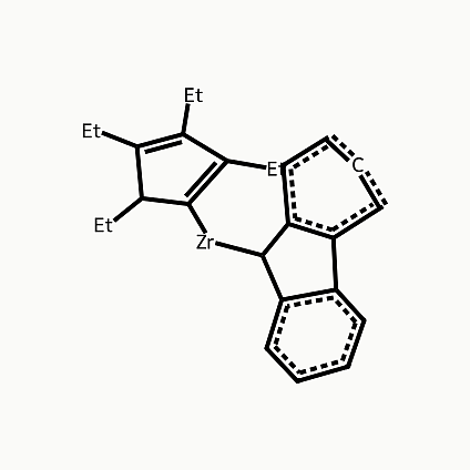 CCC1=C(CC)C(CC)[C]([Zr][CH]2c3ccccc3-c3ccccc32)=C1CC